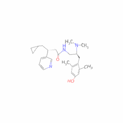 Cc1cc(O)cc(C)c1C[C@@H](CNC(=O)C[C@@H](CC1CC1)c1cccnc1)N(C)C